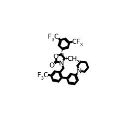 C[C@H]1[C@@H](c2cc(C(F)(F)F)cc(C(F)(F)F)c2)OC(=O)N1Cc1cc(C(F)(F)F)ccc1-c1cccc(N2CCCCC2)c1